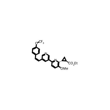 CCOC(=O)[C@@H]1C[C@H]1c1nc(-c2cncc(/C=C\c3ccc(OC(F)(F)F)cc3)c2)ccc1OC